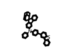 c1ccc(N(c2ccc(-c3ccc4sc5ccccc5c4c3)cc2)c2ccc3c(c2)-c2ccccc2C32C3CC4CC(C3)CC2C4)cc1